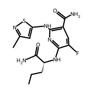 CCC[C@@H](Nc1nc(Nc2cc(C)ns2)c(C(N)=O)cc1F)C(N)=O